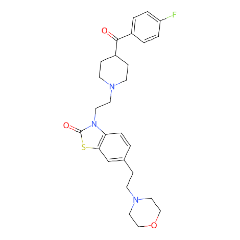 O=C(c1ccc(F)cc1)C1CCN(CCn2c(=O)sc3cc(CCN4CCOCC4)ccc32)CC1